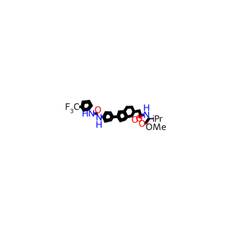 COC(=O)[C@@H](NC(=O)CC1CCc2cc(-c3ccc(NC(=O)Nc4cccc(C(F)(F)F)c4)cc3)ccc2C1=O)C(C)C